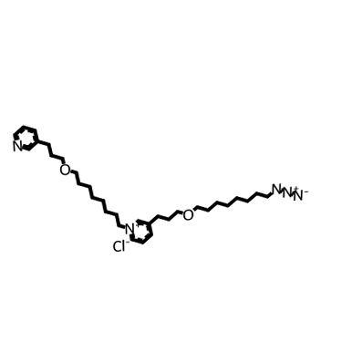 [Cl-].[N-]=[N+]=NCCCCCCCCOCCCc1ccc[n+](CCCCCCCCOCCCc2cccnc2)c1